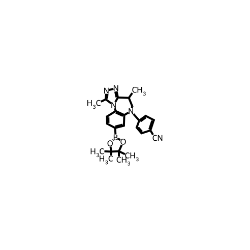 Cc1nnc2n1-c1ccc(B3OC(C)(C)C(C)(C)O3)cc1N(c1ccc(C#N)cc1)CC2C